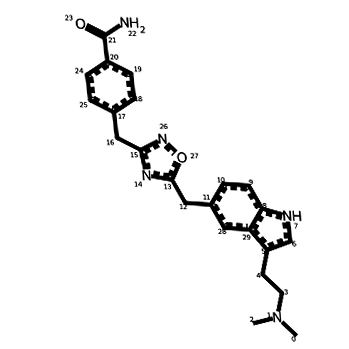 CN(C)CCc1c[nH]c2ccc(Cc3nc(Cc4ccc(C(N)=O)cc4)no3)cc12